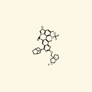 Cc1cc2[nH]c[n+](C#N)c2c(-c2c(F)cc3c(N4CC5CCC(C4)N5)nc(OC[C@@]45CCCN4C[C@H](F)C5)nc3c2F)c1OC(F)(F)Cl